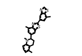 Cc1cccc2c1CCC(c1cc(C)c3nc(-c4cc(C)c5scnc5c4)sc3c1)N2C